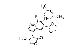 C[C@@H]1CN(c2c(C3OCCO3)cc3c(N4C(=O)OC[C@@H]4C)noc3c2F)C[C@H](C)O1